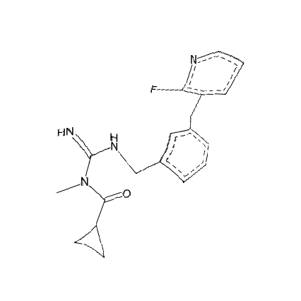 CN(C(=N)NCc1cccc(-c2cccnc2F)c1)C(=O)C1CC1